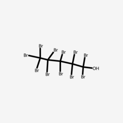 OC(Br)(Br)C(Br)(Br)C(Br)(Br)C(Br)(Br)C(Br)(Br)Br